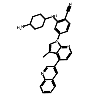 Cc1cn(-c2ccc(C#N)c(NC3CCC(N)CC3)c2)c2nccc(-c3cnc4ccccc4c3)c12